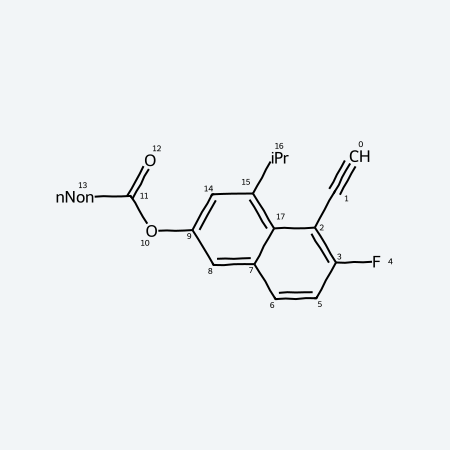 C#Cc1c(F)ccc2cc(OC(=O)CCCCCCCCC)cc(C(C)C)c12